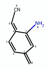 C=c1ccc(=CC#N)c(N)c1